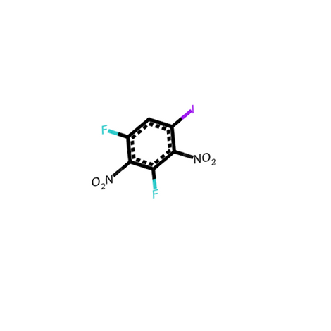 O=[N+]([O-])c1c(F)cc(I)c([N+](=O)[O-])c1F